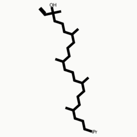 C=CC(C)(O)CCCC(C)CCCC(C)CCCC(C)CCCC(C)CCCC(C)C